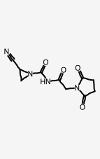 N#CC1CN1C(=O)NC(=O)CN1C(=O)CCC1=O